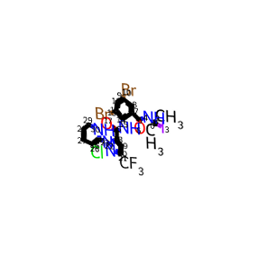 CC(C)(I)NC(=O)c1cc(Br)cc(Br)c1NC(=O)c1cc(C(F)(F)F)nn1C1=C(Cl)C=CCN1